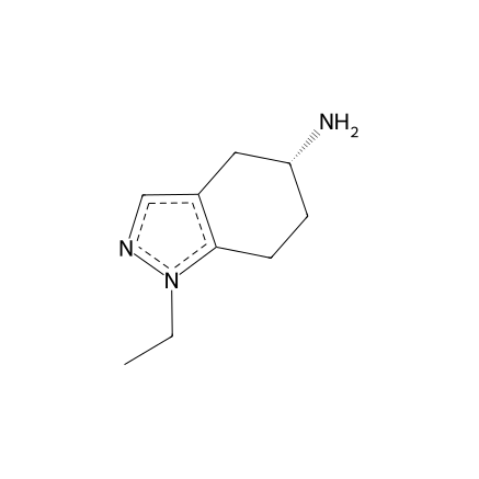 CCn1ncc2c1CC[C@@H](N)C2